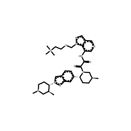 C[C@H]1CC[C@H](c2ccc3cn([C@H]4CCN(C)C[C@@H]4C)nc3c2)N(C(=O)C(=O)Nc2cncc3cnn(COCC[Si](C)(C)C)c23)C1